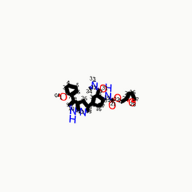 COc1ccccc1-c1c[nH]c2ncc(-c3ccc(NC(=O)OCc4ccco4)c(C(=O)N(C)C)c3)cc12